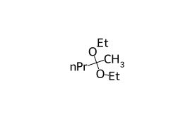 [CH2]CCC(C)(OCC)OCC